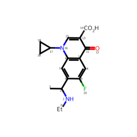 CCNC(C)c1cc2c(cc1F)c(=O)c(C(=O)O)cn2C1CC1